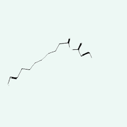 CCCCCCCCC=CCCCCCCCC(=O)OC(=O)C=CC(=O)O